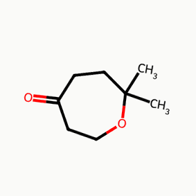 CC1(C)CCC(=O)CCO1